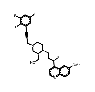 COc1ccc2nccc([C@H](F)CC[C@@H]3CCN(CC#Cc4cc(F)cc(F)c4F)C[C@@H]3CO)c2c1